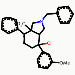 COc1cccc(C2(O)CCC(c3ccccc3)C3(C(=O)O)CN(Cc4ccccc4)CC23)c1